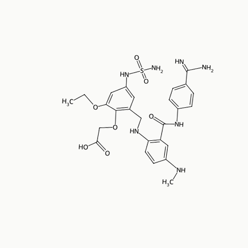 CCOc1cc(NS(N)(=O)=O)cc(CNc2ccc(NC)cc2C(=O)Nc2ccc(C(=N)N)cc2)c1OCC(=O)O